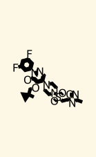 Cc1noc(CS(=O)(=O)N2CCN(c3cnn(-c4cc(F)cc(F)c4)c(=O)c3OCC3(C)CC3)CC2)n1